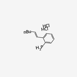 CCCCC=Cc1ccccc1P.Cl.Cl